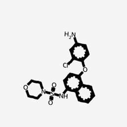 Nc1ccc(Oc2ccc(NS(=O)(=O)N3CCOCC3)c3ccccc23)c(Cl)c1